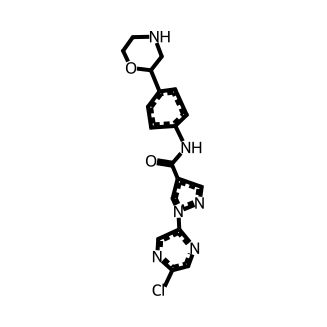 O=C(Nc1ccc(C2CNCCO2)cc1)c1cnn(-c2cnc(Cl)cn2)c1